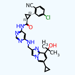 CC(C)(O)c1cc(C2CC2)cn2cc(CNc3cc(NC(=O)[C@H]4C[C@@H]4c4cc(Cl)ccc4C#N)ncn3)nc12